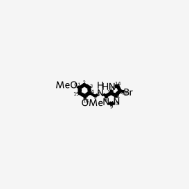 COc1ccc(CNc2ncnc3c(Br)c[nH]c23)c(OC)c1